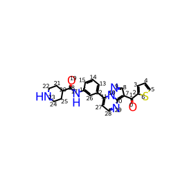 O=C(c1cccs1)c1cnn2c(-c3cccc(NC(=O)C4CCNCC4)c3)ccnc12